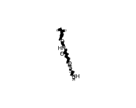 CCC(C)C#CCOCCNCC(=O)CCCCOCSSCCNC